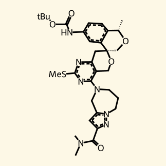 CSc1nc2c(c(N3CCCn4nc(C(=O)N(C)C)cc4C3)n1)CO[C@@]1(CO[C@@H](C)c3ccc(NC(=O)OC(C)(C)C)cc31)C2